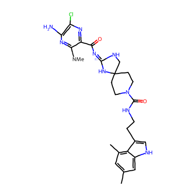 CNc1nc(N)c(Cl)nc1C(=O)/N=C1\NCC2(CCN(C(=O)NCCc3c[nH]c4cc(C)cc(C)c34)CC2)N1